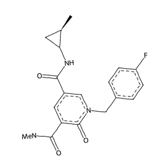 CNC(=O)c1cc(C(=O)NC2C[C@H]2C)cn(Cc2ccc(F)cc2)c1=O